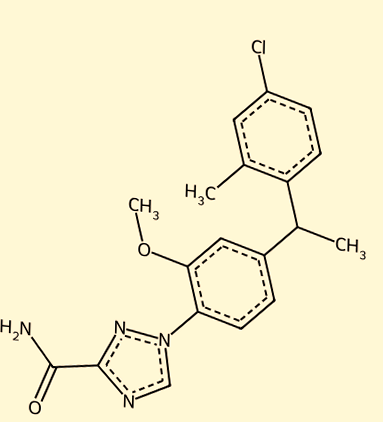 COc1cc(C(C)c2ccc(Cl)cc2C)ccc1-n1cnc(C(N)=O)n1